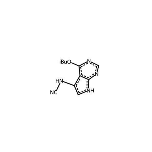 CC(C)COc1ncnc2[nH]cc(NC#N)c12